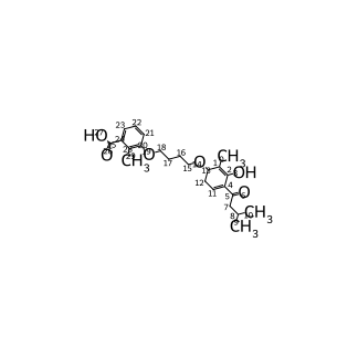 CC1=C(O)C(C(=O)CC(C)C)=CCC1OCCCCOc1cccc(C(=O)O)c1C